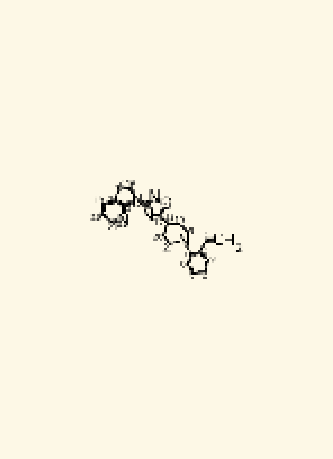 C=Cc1ccccc1N1CCC(c2nc(-n3ccc4cccnc43)no2)CC1